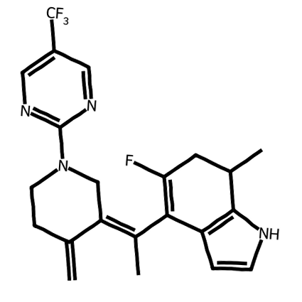 C=C1CCN(c2ncc(C(F)(F)F)cn2)C/C1=C(/C)C1=C(F)CC(C)c2[nH]ccc21